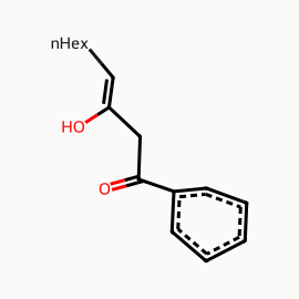 CCCCCC/C=C(\O)CC(=O)c1ccccc1